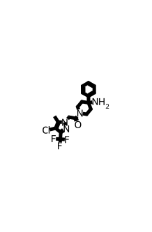 Cc1c(Cl)c(C(F)(F)F)nn1CC(=O)N1CCC(N)(c2ccccc2)CC1